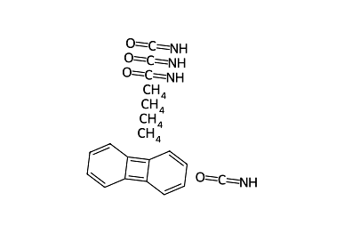 C.C.C.C.N=C=O.N=C=O.N=C=O.N=C=O.c1ccc2c(c1)=c1ccccc1=2